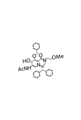 COCCN1C[C@H](C(c2ccccc2)c2ccccc2)N2C=C(NC(C)=O)C(O)C(OCc3ccccc3)=C2C1=O